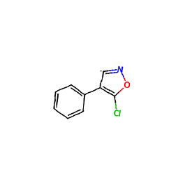 Clc1on[c]c1-c1ccccc1